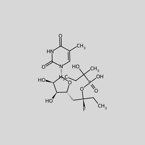 CCC(C)(O)P(=O)(O)O[C@](F)(CC)C[C@H]1O[C@@H](n2cc(C)c(=O)[nH]c2=O)[C@H](O)[C@@H]1O